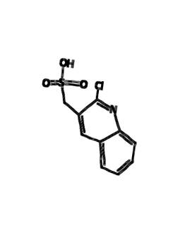 O=S(=O)(O)Cc1cc2ccccc2nc1Cl